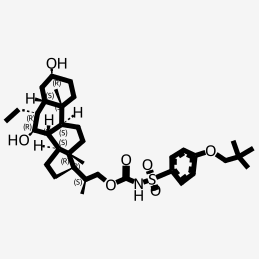 CC[C@H]1[C@@H](O)[C@@H]2[C@H](CC[C@]3(C)[C@@H]([C@H](C)COC(=O)NS(=O)(=O)c4ccc(OCC(C)(C)C)cc4)CC[C@@H]23)[C@@]2(C)CC[C@@H](O)C[C@@H]12